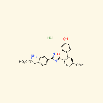 COc1ccc(-c2nc(-c3ccc(C[C@H](N)C(=O)O)cc3)no2)c(-c2ccc(O)cc2)c1.Cl